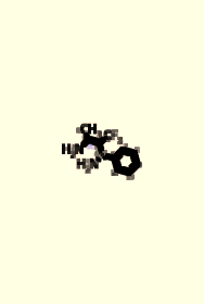 C/C(N)=C(/N(N)c1ccccc1)C(F)(F)F